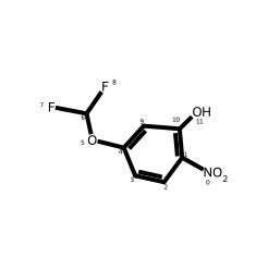 O=[N+]([O-])c1ccc(OC(F)F)cc1O